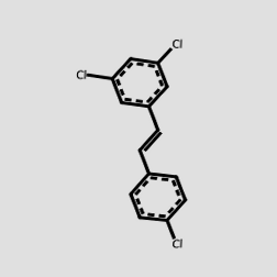 Clc1ccc(/C=C/c2cc(Cl)cc(Cl)c2)cc1